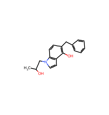 CC(O)Cn1ccc2c(O)c(Cc3ccccc3)ccc21